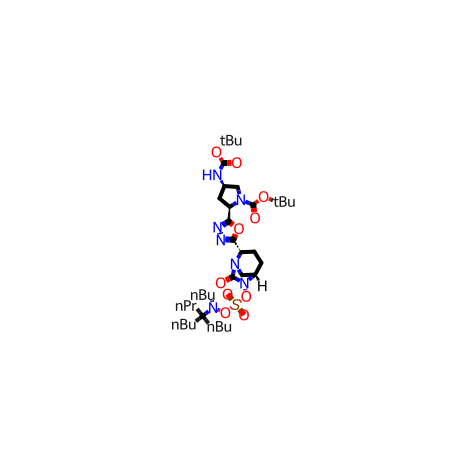 CCCCN(OS(=O)(=O)ON1C(=O)N2C[C@@H]1CC[C@H]2c1nnc([C@H]2C[C@@H](NC(=O)OC(C)(C)C)CN2C(=O)OC(C)(C)C)o1)C(CCC)(CCCC)CCCC